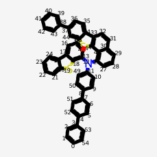 c1ccc(-c2ccc(-c3ccc(N(c4cccc5c4sc4ccccc45)c4cccc5ccc6c7ccc(-c8ccccc8)cc7sc6c45)cc3)cc2)cc1